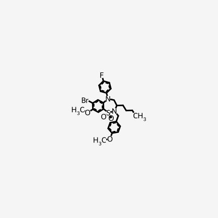 CCCCC1CN(c2ccc(F)cc2)c2cc(Br)c(OC)cc2S(=O)(=O)N1Cc1ccc(OC)cc1